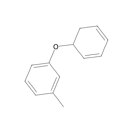 Cc1cccc(OC2C=CC=CC2)c1